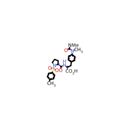 CNC(=O)N(C)c1ccc(C[C@H](NC(=O)[C@@H]2CCCN2S(=O)(=O)c2ccc(C)cc2)C(=O)O)cc1